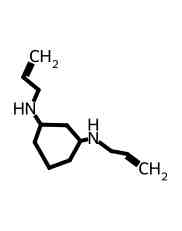 C=CCNC1CCCC(NCC=C)C1